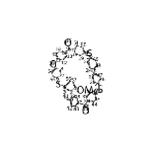 COc1ccc(Sc2ccc(Oc3ccc(C(=O)c4ccc(Sc5ccc(-c6ccc(Sc7ccc(C(=O)c8ccc(C)cc8)cc7)cc6)cc5)cc4)cc3)cc2)cc1